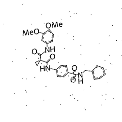 COc1ccc(NC(=O)C2(C(=O)Nc3ccc(S(=O)(=O)NCc4ccccc4)cc3)CC2)cc1OC